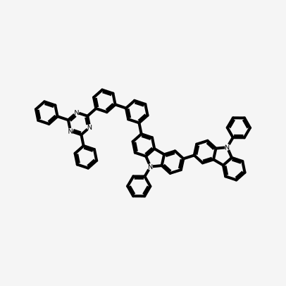 c1ccc(-c2nc(-c3ccccc3)nc(-c3cccc(-c4cccc(-c5ccc6c(c5)c5cc(-c7ccc8c(c7)c7ccccc7n8-c7ccccc7)ccc5n6-c5ccccc5)c4)c3)n2)cc1